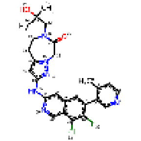 Cc1ccncc1-c1cc2cc(Nc3cc4n(n3)CC(=O)N(CC(C)(C)O)CC4)ncc2c(Cl)c1F